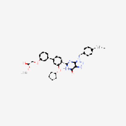 COc1ccc(Cn2nnc3c(=O)[nH]c(-c4ccc(-c5cccc(OCC(=O)OC(C)(C)C)c5)cc4OC4CCCC4)nc32)cc1